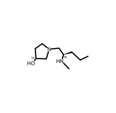 CCC[C@H](CN1CC[C@H](O)C1)NC